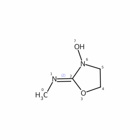 C/N=C1\OCCN1O